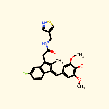 COc1cc(C=C2C(C)=C(CC(=O)NCc3cnsc3)c3cc(F)ccc32)cc(OC)c1O